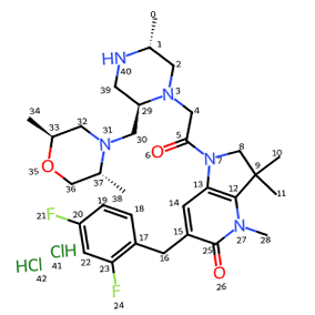 C[C@@H]1CN(CC(=O)N2CC(C)(C)c3c2cc(Cc2ccc(F)cc2F)c(=O)n3C)[C@@H](CN2C[C@H](C)OC[C@H]2C)CN1.Cl.Cl